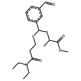 CCN(CC)C(=O)CCSC(SC(C)C(=O)OC)c1cccc(C=O)c1